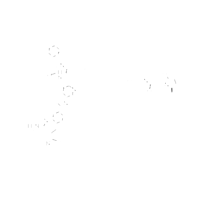 CCCN(CCC)C(=O)C1=Cc2ccc(C(=O)Nc3cncc(CNC(=O)C(Cc4ccccc4)NC(=O)CCOCCOCCOCCOCCNC(=O)CCN4C(=O)C=CC4=O)c3)cc2N=C(N)C1